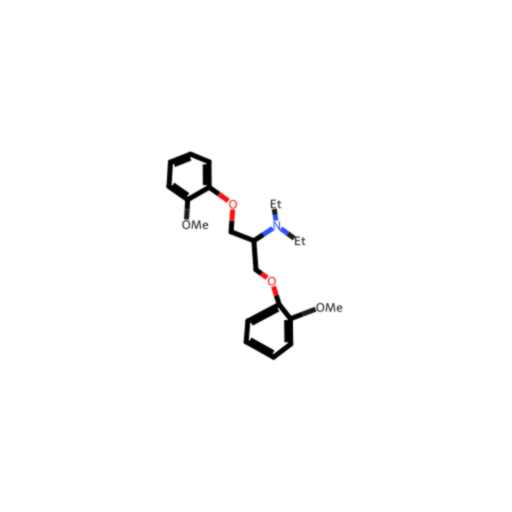 CCN(CC)C(COc1ccccc1OC)COc1ccccc1OC